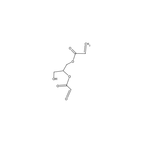 C=CC(=O)OCC(CO)OC(=O)C=O